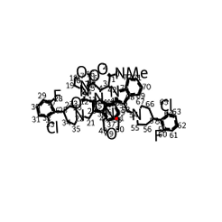 CNC(=O)C(C(C(=O)N(C)C)n1c(C(=O)N2CCOCC2)c(CN2CCC(c3c(F)cccc3Cl)CC2)c2ccccc21)n1c(C(=O)N2CCOCC2)c(CN2CCC(c3c(F)cccc3Cl)CC2)c2ccccc21